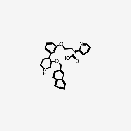 O=C(O)N(CCOc1cccc(C2CCNCC2OCc2ccc3ccccc3c2)c1)c1ccccn1